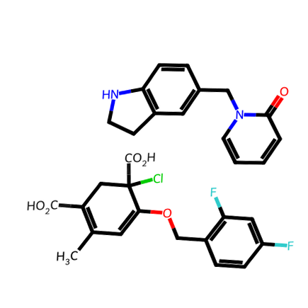 CC1=C(C(=O)O)CC(Cl)(C(=O)O)C(OCc2ccc(F)cc2F)=C1.O=c1ccccn1Cc1ccc2c(c1)CCN2